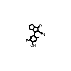 N#CC1=C(c2cc(F)c(O)cc2F)C2CCCC2C1=O